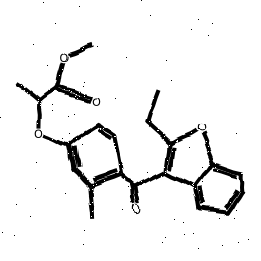 CCc1oc2ccccc2c1C(=O)c1ccc(OC(C)C(=O)OC)cc1C